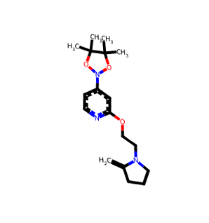 C=C1CCCN1CCOc1cc(N2OC(C)(C)C(C)(C)O2)ccn1